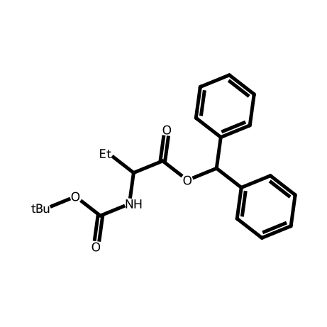 [CH2]CC(NC(=O)OC(C)(C)C)C(=O)OC(c1ccccc1)c1ccccc1